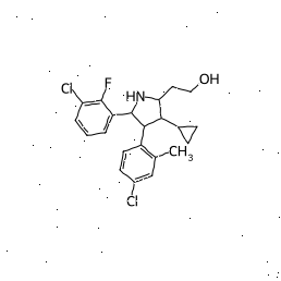 Cc1cc(Cl)ccc1C1C(c2cccc(Cl)c2F)NC(CCO)C1C1CC1